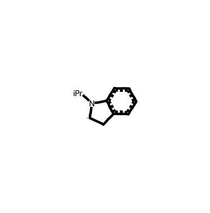 CC(C)N1[CH]Cc2ccccc21